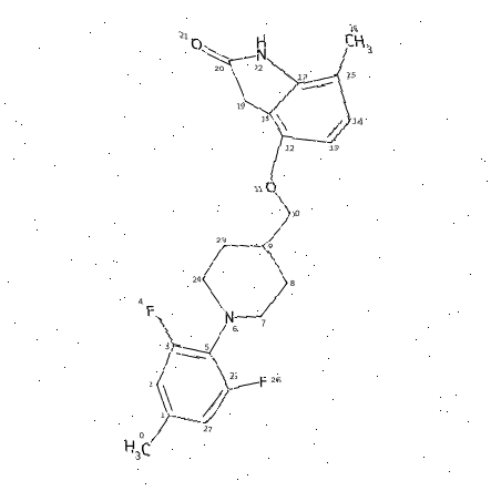 Cc1cc(F)c(N2CCC(COc3ccc(C)c4c3CC(=O)N4)CC2)c(F)c1